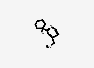 CCC1(c2cc(CC(C)(C)C)ccn2)CCCCC1